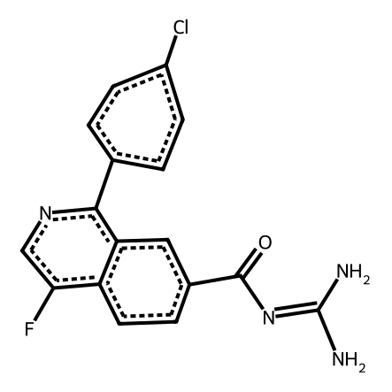 NC(N)=NC(=O)c1ccc2c(F)cnc(-c3ccc(Cl)cc3)c2c1